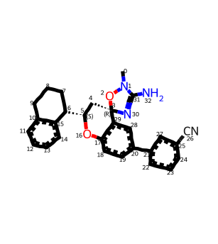 CN1O[C@@]2(C[C@@H](C3CCCc4ccccc43)Oc3ccc(-c4cccc(C#N)c4)cc32)N=C1N